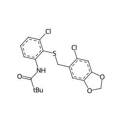 CC(C)(C)C(=O)Nc1cccc(Cl)c1SCc1cc2c(cc1Cl)OCO2